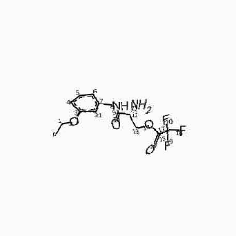 CCOc1cccc(NC(=O)[C@H](N)COC(=O)C(F)(F)F)c1